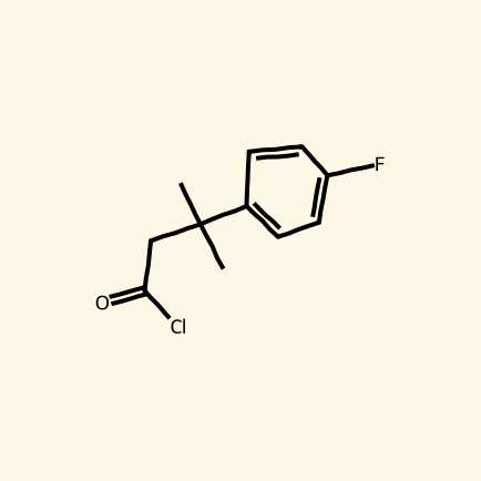 CC(C)(CC(=O)Cl)c1ccc(F)cc1